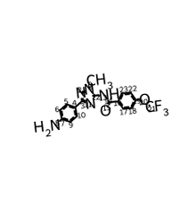 Cn1nc(-c2ccc(N)cc2)nc1NC(=O)c1ccc(OC(F)(F)F)cc1